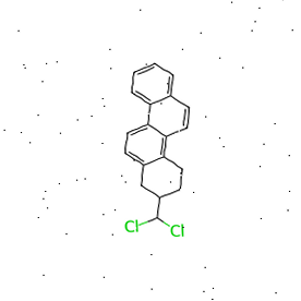 ClC(Cl)C1CCc2c(ccc3c2ccc2ccccc23)C1